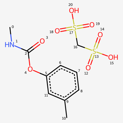 CNC(=O)Oc1cccc(C)c1.O=S(=O)(O)CS(=O)(=O)O